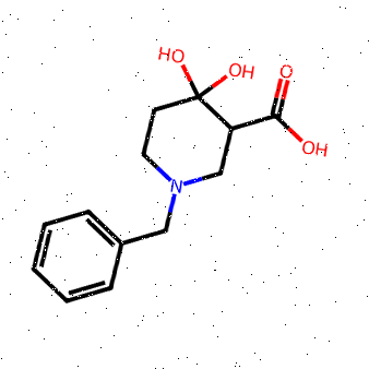 O=C(O)C1CN(Cc2ccccc2)CCC1(O)O